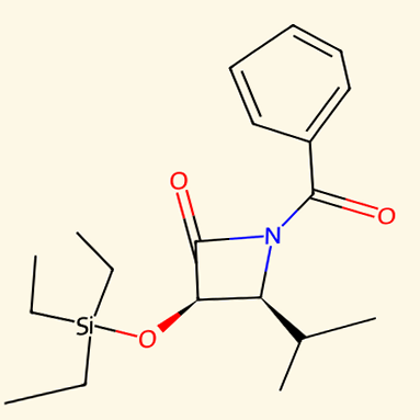 CC[Si](CC)(CC)O[C@H]1C(=O)N(C(=O)c2ccccc2)[C@H]1C(C)C